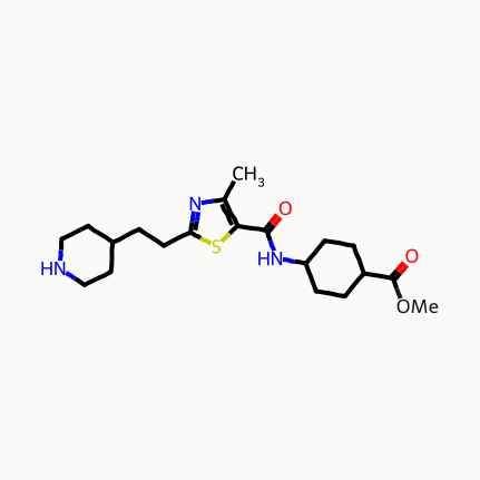 COC(=O)C1CCC(NC(=O)c2sc(CCC3CCNCC3)nc2C)CC1